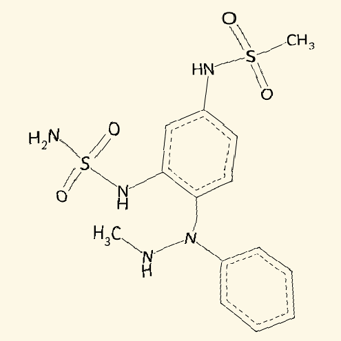 CNN(c1ccccc1)c1ccc(NS(C)(=O)=O)cc1NS(N)(=O)=O